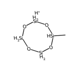 C[SiH]1O[SiH2]O[SiH2]O[SiH2]O1.[H+]